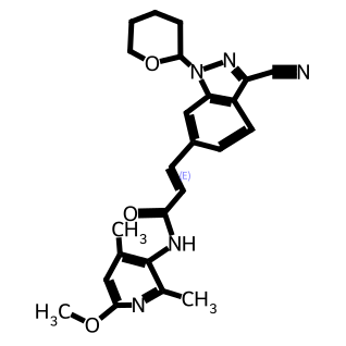 COc1cc(C)c(NC(=O)/C=C/c2ccc3c(C#N)nn(C4CCCCO4)c3c2)c(C)n1